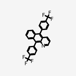 FC(F)(F)c1ccc(-c2c3ccccc3c(-c3ccc(C(F)(F)F)cc3)c3ncccc23)cc1